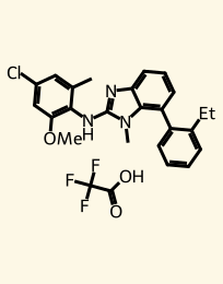 CCc1ccccc1-c1cccc2nc(Nc3c(C)cc(Cl)cc3OC)n(C)c12.O=C(O)C(F)(F)F